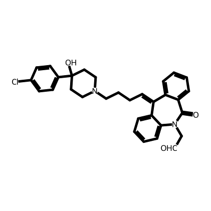 O=CCN1C(=O)c2ccccc2/C(=C/CCCN2CCC(O)(c3ccc(Cl)cc3)CC2)c2ccccc21